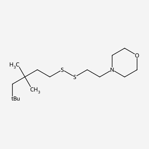 CC(C)(C)CC(C)(C)CCSSCCN1CCOCC1